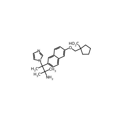 CC(C)(N)C(C)(c1ccc2cc(OCC3(C(=O)O)CCCC3)ccc2c1)n1ccnc1